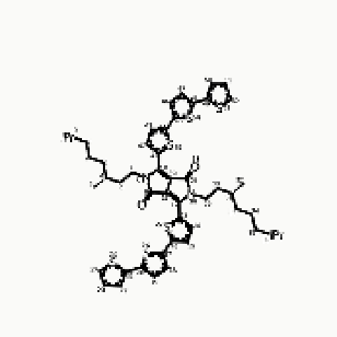 CC(C)CCC[C@H](C)CCN1C(=O)C2=C(c3ccc(-c4ccc(-c5cccs5)s4)s3)N(CC[C@@H](C)CCCC(C)C)C(=O)C2=C1c1ccc(-c2ccc(-c3cccs3)s2)s1